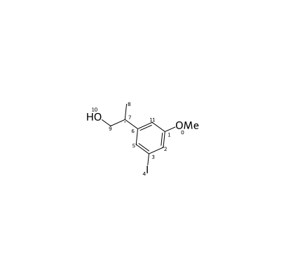 COc1cc(I)cc([C](C)CO)c1